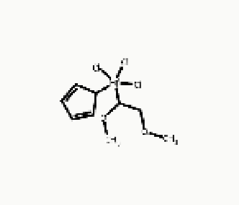 COC[CH](OC)[Hf]([Cl])([Cl])([Cl])[CH]1C=CC=C1